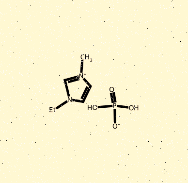 CCn1cc[n+](C)c1.O=P([O-])(O)O